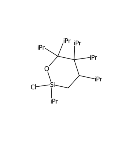 CC(C)C1C[Si](Cl)(C(C)C)OC(C(C)C)(C(C)C)C1(C(C)C)C(C)C